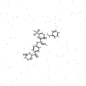 CS(=O)(=O)C=C[C@H](CCc1ccccc1)NC(=O)[C@@H](N)Cc1ccc(C(=O)C2CNCCO2)cc1